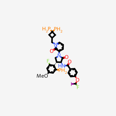 COc1cc(F)c([C@@H]2CN(c3cccn(CC4CC(P)(P)C4)c3=O)C(=O)[C@H]2NC(=O)c2ccc(OC(F)I)cc2)c(P)c1